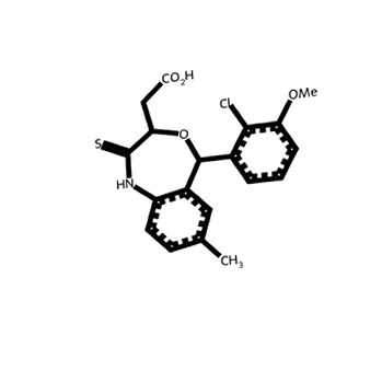 COc1cccc(C2OC(CC(=O)O)C(=S)Nc3ccc(C)cc32)c1Cl